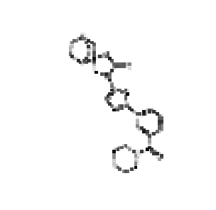 O=C(c1cccc(-c2ccc(N3CC4(CN5CCC4CC5)OC3=O)s2)c1)N1CCCCC1